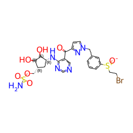 NS(=O)(=O)OC[C@H]1C[C@@H](Nc2ncncc2C(=O)c2ccn(Cc3cccc([S+]([O-])CCBr)c3)n2)[C@H](O)[C@@H]1O